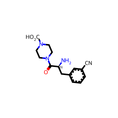 N#Cc1cccc(C[C@H](N)C(=O)N2CCN(C(=O)O)CC2)c1